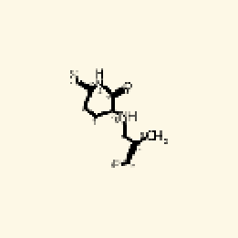 C/C(=C/F)CNC1CCC(=O)NC1=O